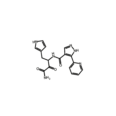 NC(=O)C(=O)C(Cc1cc[nH]c1)NC(=O)c1cn[nH]c1-c1ccccn1